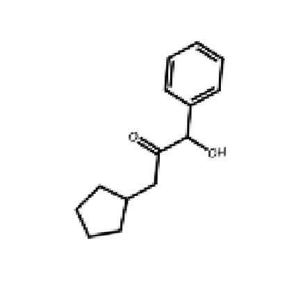 O=C(CC1CCCC1)C(O)c1ccccc1